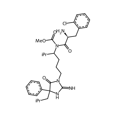 COC(=O)N(C(=O)[C@@H](N)Cc1ccccc1Cl)C(CCCN1C(=N)NC(CC(C)C)(c2ccccc2)C1=O)C(C)C